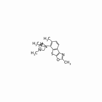 Cc1nc2c(o1)sc1c([N+]34C=C[N+](C)(C3)[C@@H]4C)c(C)ccc12